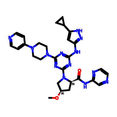 CO[C@H]1C[C@@H](C(=O)Nc2cnccn2)N(c2nc(Nc3cc(C4CC4)[nH]n3)nc(N3CCN(c4ccncc4)CC3)n2)C1